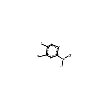 Cc1ccc([SiH](C)Cl)cc1C